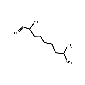 C=NC(C)CCCCCC(C)C